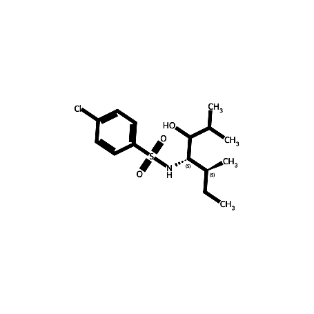 CC[C@H](C)[C@H](NS(=O)(=O)c1ccc(Cl)cc1)C(O)C(C)C